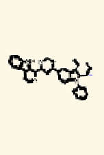 C=Cc1c(/C=C\C)n(-c2ccccc2)c2ccc(-c3ccnc(-c4nccc5c4[nH]c4ccccc45)c3)cc12